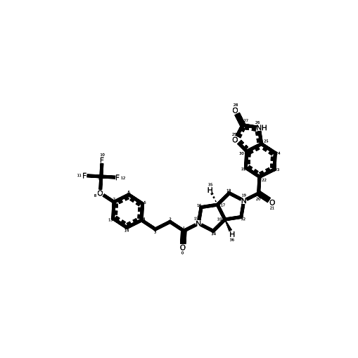 O=C(CCc1ccc(OC(F)(F)F)cc1)N1C[C@H]2CN(C(=O)c3ccc4[nH]c(=O)oc4c3)C[C@@H]2C1